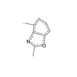 [CH2]c1cccc2oc(C)nc12